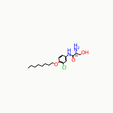 CCCCCCCCOc1ccc(NC(=O)[C@@H](N)CO)cc1Cl